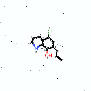 C=CCc1cc(Cl)c2cccnc2c1O